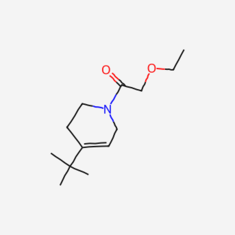 CCOCC(=O)N1CC=C(C(C)(C)C)CC1